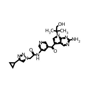 CC(C)(CO)n1cc(C(=O)c2cncc(NC(=O)Cn3cc(C4CC4)nn3)c2)c2cnc(N)nc21